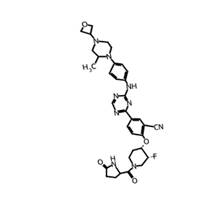 CC1CN(C2COC2)CCN1c1ccc(Nc2ncnc(-c3ccc(O[C@H]4CCN(C(=O)C5CCC(=O)N5)C[C@H]4F)c(C#N)c3)n2)cc1